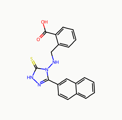 O=C(O)c1ccccc1CNn1c(-c2ccc3ccccc3c2)n[nH]c1=S